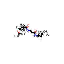 CCCCC(CCC)OC(C)(CC)CC(C)(C)C(=O)NCCC(=O)NC(C)(C)CC(C)(C)OC